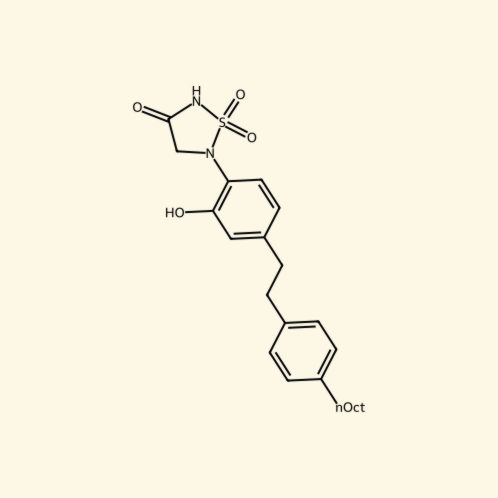 CCCCCCCCc1ccc(CCc2ccc(N3CC(=O)NS3(=O)=O)c(O)c2)cc1